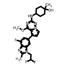 COc1nc(NC2CCC(C)(O)CC2)nn2ccc(-c3cc(F)c4nc(C)n(CC(F)F)c4c3)c12